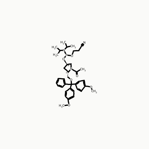 COc1ccc(C(OC[C@@H]2C[C@@H](OP(OCCC#N)N(C(C)C)C(C)C)CN2C(C)=O)(c2ccccc2)c2ccc(OC)cc2)cc1